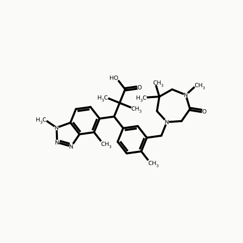 Cc1ccc(C(c2ccc3c(nnn3C)c2C)C(C)(C)C(=O)O)cc1CN1CC(=O)N(C)CC(C)(C)C1